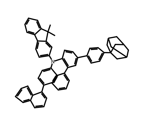 CC1(C)c2ccccc2-c2ccc(N(c3ccc(-c4cccc5ccccc45)cc3)c3ccc(-c4ccc(C56CC7CC(CC(C7)C5)C6)cc4)cc3-c3ccccc3)cc21